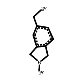 CC(C)Cc1ccc2c(c1)CN(C(C)C)C2